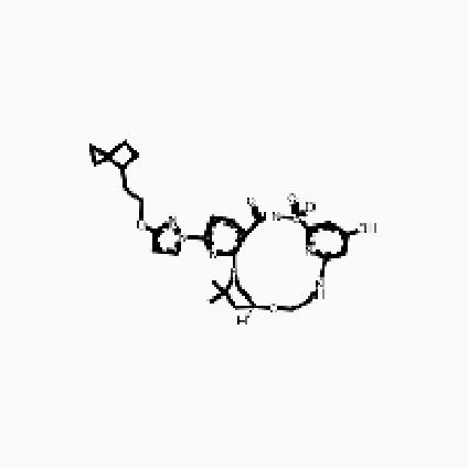 CC1(C)C[C@@H]2CCCNc3cc(O)cc(n3)S(=O)(=O)NC(=O)c3ccc(-n4ccc(OCCC5CCC56CC6)n4)nc3N1C2